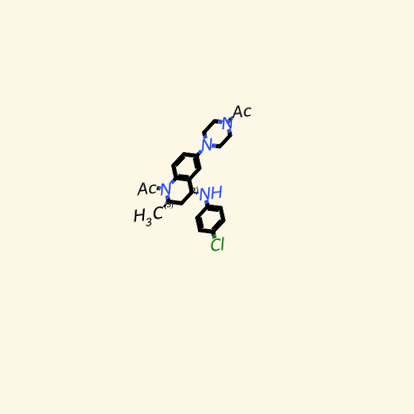 CC(=O)N1CCN(c2ccc3c(c2)[C@H](Nc2ccc(Cl)cc2)C[C@H](C)N3C(C)=O)CC1